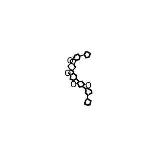 C1=C2c3cc(-c4ccccc4)ccc3OC2Cc2oc3cc4oc5cc6c(cc5c4cc3c21)oc1ccc(-c2ccccc2)cc16